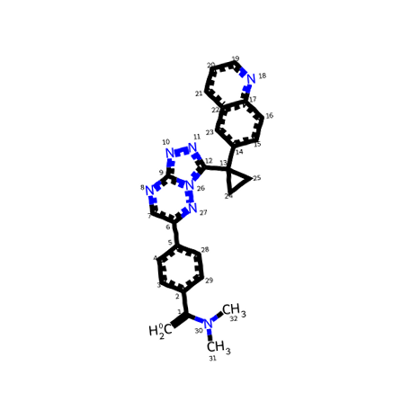 C=C(c1ccc(-c2cnc3nnc(C4(c5ccc6ncccc6c5)CC4)n3n2)cc1)N(C)C